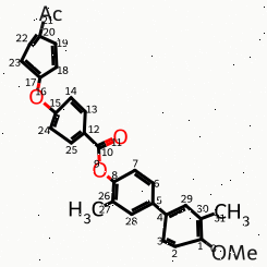 COc1ccc(-c2ccc(OC(=O)c3ccc(Oc4ccc(C(C)=O)cc4)cc3)c(C)c2)cc1C